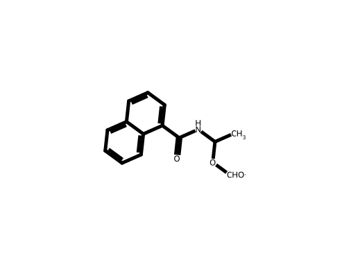 CC(NC(=O)c1cccc2ccccc12)O[C]=O